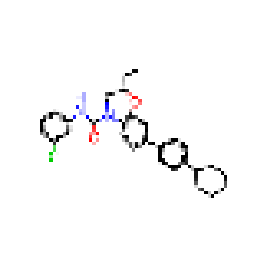 CCC1CN(C(=O)Nc2cccc(Cl)c2)c2ccc(-c3ccc(C4CCCCC4)cc3)cc2O1